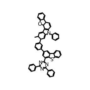 CC1C=c2c3c(n(-c4ccccc4)c2=CC1c1cccc(-c2cc(-c4nc(-c5ccccc5)nc(-c5ccccc5)n4)c4sc5ccccc5c4c2)c1)C=CC1c2ccccc2OC31